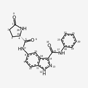 O=C1CC[C@@H](C(=O)Nc2ccc3[nH]nc(C(=O)Nc4ccccc4)c3c2)N1